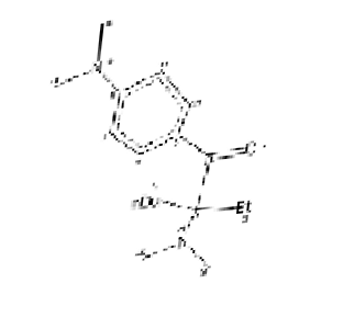 CCCCC(CC)(C(=O)c1ccc(N(C)C)cc1)N(C)C